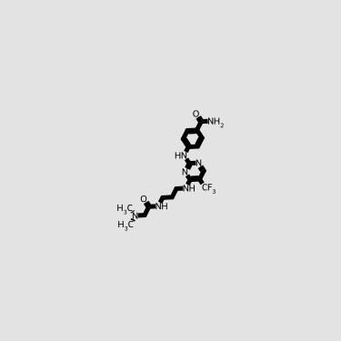 CN(C)CC(=O)NCCCNc1nc(Nc2ccc(C(N)=O)cc2)ncc1C(F)(F)F